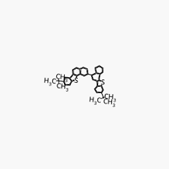 CC(C)(C)c1ccc2c(c1)sc1c3ccccc3c(-c3ccc4ccc5c6cc(C(C)(C)C)ccc6sc5c4c3)cc21